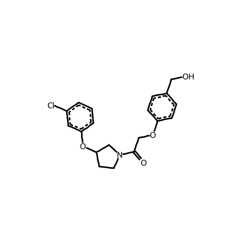 O=C(COc1ccc(CO)cc1)N1CCC(Oc2cccc(Cl)c2)C1